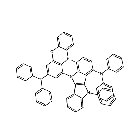 c1ccc(N(c2ccccc2)c2cc3c4c(c2)-n2c5c(ccc(N(c6ccccc6)c6ccccc6)c5c5c2c2ccccc2n5-c2ccccc2)B4c2ccccc2O3)cc1